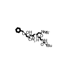 CN(CC(=O)OCc1ccccc1)NC(=O)C[C@H](CCN=[N+]=[N-])NC(=O)CNC(=O)OC(C)(C)C